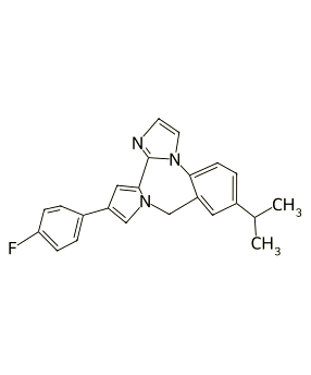 CC(C)c1ccc2c(c1)Cn1cc(-c3ccc(F)cc3)cc1-c1nccn1-2